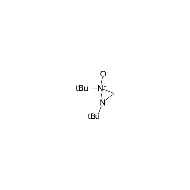 CC(C)(C)N1C[N+]1([O-])C(C)(C)C